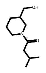 CC(C)CC(=O)N1CCCC(CO)C1